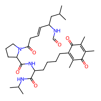 CC1=C(C)C(=O)C(CCCCC(NC(=O)C2CCCN2C(=O)C/C=C/C(CC(C)C)NC=O)C(=O)NC(C)C)=C(C)C1=O